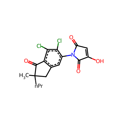 CCCC1(C)Cc2cc(N3C(=O)C=C(O)C3=O)c(Cl)c(Cl)c2C1=O